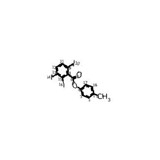 Cc1ccc(OC(=O)c2c(I)ccc(I)c2I)cc1